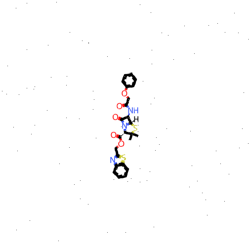 CC1(C)S[C@@H]2[C@H](NC(=O)COc3ccccc3)C(=O)N2[C@H]1C(=O)OCc1nc2ccccc2s1